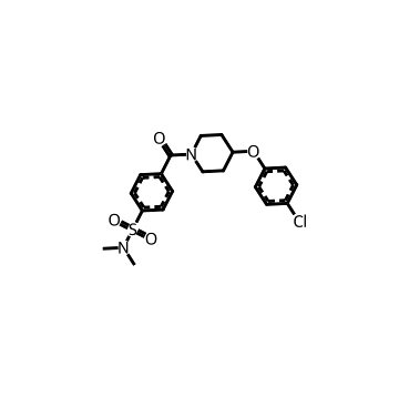 CN(C)S(=O)(=O)c1ccc(C(=O)N2CCC(Oc3ccc(Cl)cc3)CC2)cc1